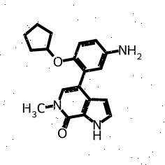 Cn1cc(-c2cc(N)ccc2OC2CCCC2)c2cc[nH]c2c1=O